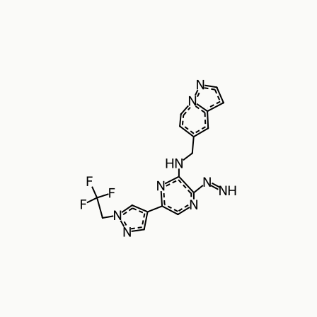 N=Nc1ncc(-c2cnn(CC(F)(F)F)c2)nc1NCc1ccn2nccc2c1